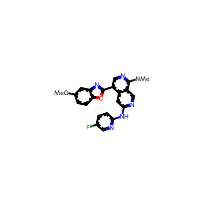 CNc1ncc(-c2nc3cc(OC)ccc3o2)c2cc(Nc3ccc(F)cn3)ncc12